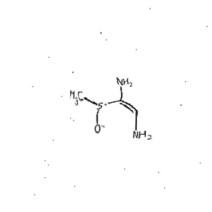 C[S+]([O-])/C(N)=C\N